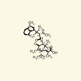 CN[C@H](C(=O)N[C@H](C(=O)N(C)[C@H](/C=C(\C)C(=O)O)C(C)C)C(C)(C)C)C(C)(C)c1cn(C)c2ccccc12